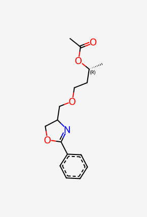 CC(=O)O[C@H](C)CCOCC1COC(c2ccccc2)=N1